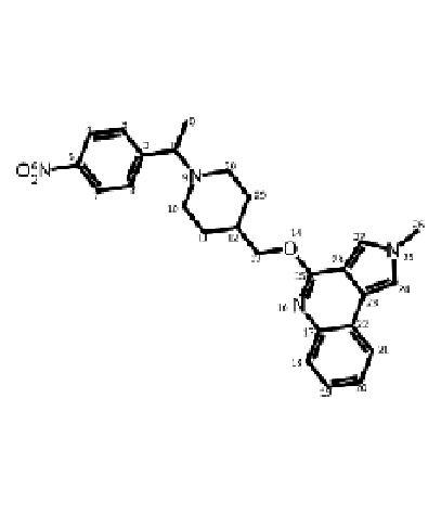 CC(c1ccc([N+](=O)[O-])cc1)N1CCC(COc2nc3ccccc3c3cn(C)cc23)CC1